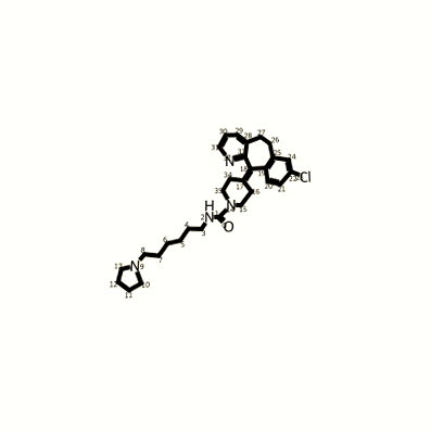 O=C(NCCCCCCN1CCCC1)N1CCC(=C2c3ccc(Cl)cc3CCc3cccnc32)CC1